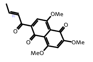 C/C=C/C(=O)C1=CC(OC)=C2C(=O)C(OC)=CC(OC)=C2C1=O